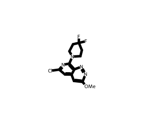 COc1cc2cc(Cl)nc(N3CCC(F)(F)CC3)c2nn1